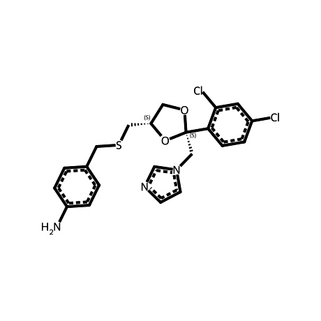 Nc1ccc(CSC[C@@H]2CO[C@@](Cn3ccnc3)(c3ccc(Cl)cc3Cl)O2)cc1